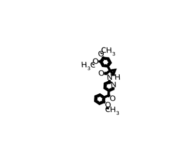 COc1ccc(C23C[C@@H]2N(c2ccc(C(=O)c4ccccc4OC)cn2)C3=O)cc1OC